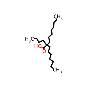 CCCCCCCCC(CCCC)(CCCCCCC)C(=O)O